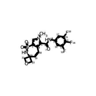 Cn1cc2c(c1C(=O)Nc1cc(F)c(F)c(F)c1)C=CC1(COC1)NS2(=O)=O